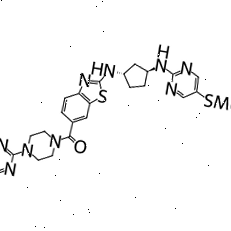 CSc1cnc(N[C@H]2CC[C@H](Nc3nc4ccc(C(=O)N5CCN(c6ncccn6)CC5)cc4s3)C2)nc1